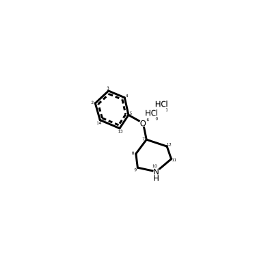 Cl.Cl.c1ccc(OC2CCNCC2)cc1